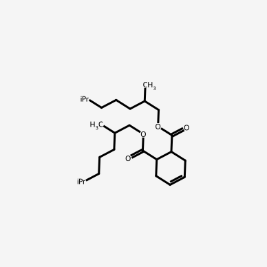 CC(C)CCCC(C)COC(=O)C1CC=CCC1C(=O)OCC(C)CCCC(C)C